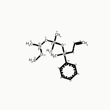 C=CC[Si](C)(O[Si](C)(C)O[SiH](C)O[SiH3])c1ccccc1